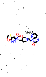 COc1ccc2ncc(=O)n(CCN3CCC4CN(c5cc6c(nn5)OCCS6)C(=O)OC4C3)c2n1